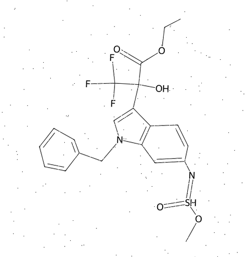 CCOC(=O)C(O)(c1cn(Cc2ccccc2)c2cc(N=[SH](=O)OC)ccc12)C(F)(F)F